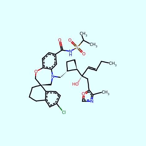 CC/C=C/[C@@](O)(Cc1ocnc1C)[C@@H]1CC[C@H]1CN1C[C@@]2(CCCc3cc(Cl)ccc32)COc2ccc(C(=O)NS(=O)(=O)C(C)C)cc21